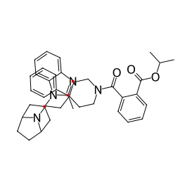 Cc1nc2ccccc2n1C1CC2CCC(C1)N2CCC1(c2ccccc2)CCN(C(=O)c2ccccc2C(=O)OC(C)C)CC1